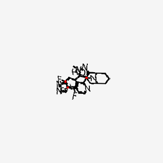 Cn1nc2c(c1-c1cc(F)c(F)c(F)c1)CC1CCCC2N1C(O)c1cc(-n2cnnc2)ccn1